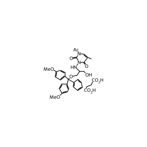 COc1ccc(C(OCC(CO)Nn2c(=O)c(C)cn(C(C)=O)c2=O)(c2ccccc2)c2ccc(OC)cc2)cc1.O=C(O)CCC(=O)O